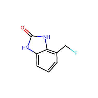 O=c1[nH]c2cccc(CF)c2[nH]1